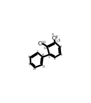 FC(F)(F)c1cccc(-c2[c]cccc2)c1Cl